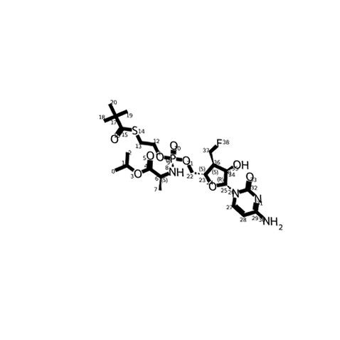 CC(C)OC(=O)[C@H](C)N[P@@](=O)(OCCSC(=O)C(C)(C)C)OC[C@H]1O[C@@H](n2ccc(N)nc2=O)[C@H](O)[C@@H]1CF